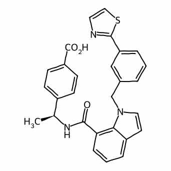 C[C@H](NC(=O)c1cccc2ccn(Cc3cccc(-c4nccs4)c3)c12)c1ccc(C(=O)O)cc1